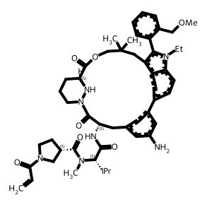 C=CC(=O)N1CC[C@H](C(=O)N(C)[C@H](C(=O)N[C@H]2Cc3cc(N)cc(c3)-c3ccc4c(c3)c(c(-c3ccccc3COC)n4CC)CC(C)(C)COC(=O)[C@@H]3CCCN(N3)C2=O)C(C)C)C1